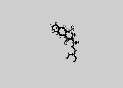 CCN(CC)CCNc1n[n+]([O-])c2cc3c(cc2[n+]1[O-])OCC3